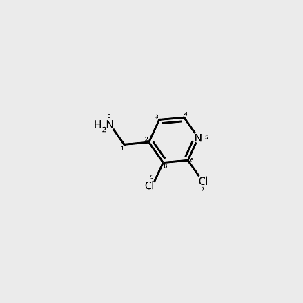 NCc1ccnc(Cl)c1Cl